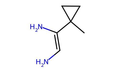 CC1(/C(N)=C/N)CC1